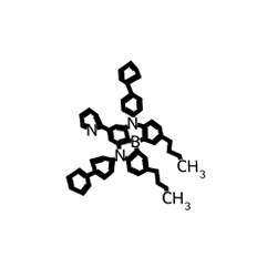 CCCCc1ccc2c(c1)B1c3cc(CCCC)ccc3N(c3ccc(-c4ccccc4)cc3)c3cc(-c4ccccn4)cc(c31)N2c1ccc(-c2ccccc2)cc1